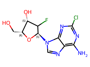 Nc1nc(Cl)nc2c1ncn2[C@H]1O[C@H](CO)[C@H](O)C1F